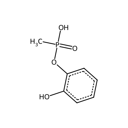 CP(=O)(O)Oc1ccccc1O